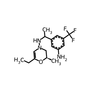 CCC1=CN(NC(C)c2cc(N)cc(C(F)(F)F)c2)C[C@@H](C)O1